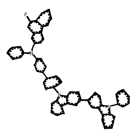 Fc1cc2cc(N(c3ccccc3)c3ccc(-c4ccc(-n5c6ccccc6c6cc(-c7ccc8c(c7)c7ccccc7n8-c7ccccc7)ccc65)cc4)cc3)ccc2c2ccccc12